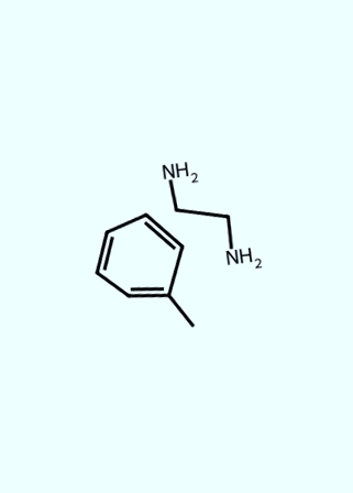 Cc1ccccc1.NCCN